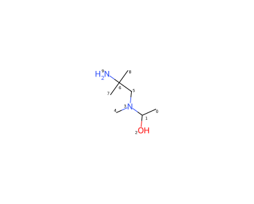 CC(O)N(C)CC(C)(C)N